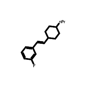 CCCC1CCC(C=Cc2cccc(F)c2)CC1